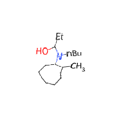 CCCCN(C(O)CC)C1CCCCCC1C